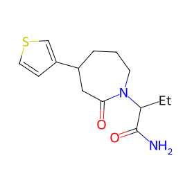 CCC(C(N)=O)N1CCCC(c2ccsc2)CC1=O